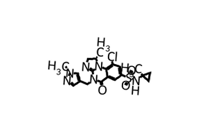 C[C@@H]1CN=C2N(Cc3cnn(C)c3)C(=O)c3cc(S(=O)(=O)NC4(C)CC4)cc(Cl)c3N21